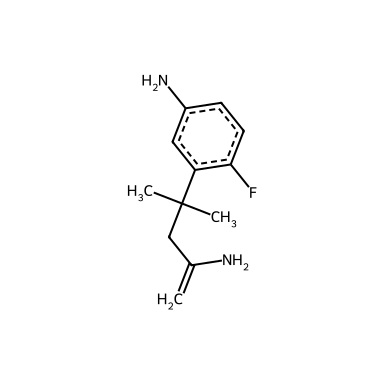 C=C(N)CC(C)(C)c1cc(N)ccc1F